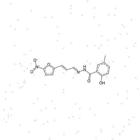 Cc1ccc(O)c(C(=O)NN=CC=Cc2ccc([N+](=O)[O-])o2)c1